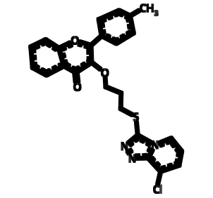 Cc1ccc(-c2oc3ccccc3c(=O)c2OCCCSc2nnc3c(Cl)cccn23)cc1